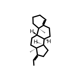 CC=C1CC[C@@H]2[C@@H]3CCC4=CCCC[C@]4(C)[C@H]3CC[C@]12C